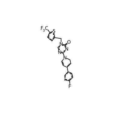 O=c1nc(N2C=CC(c3ccc(F)cc3)=CC2)ncn1Cc1ccc(C(F)(F)F)s1